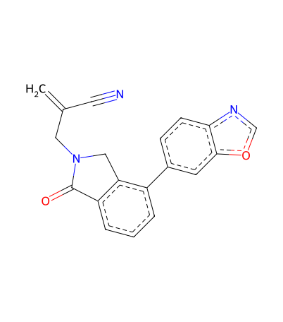 C=C(C#N)CN1Cc2c(cccc2-c2ccc3ncoc3c2)C1=O